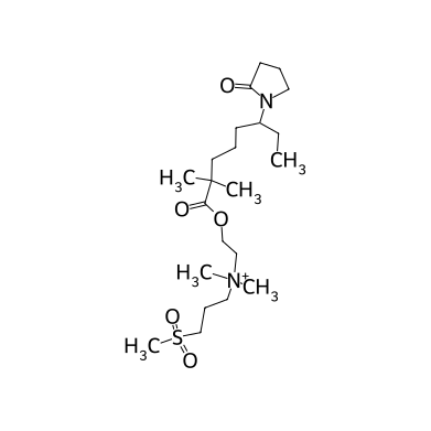 CCC(CCCC(C)(C)C(=O)OCC[N+](C)(C)CCCS(C)(=O)=O)N1CCCC1=O